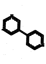 [c]1cncc(-c2ccncc2)c1